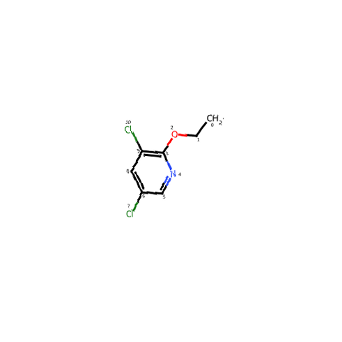 [CH2]COc1ncc(Cl)cc1Cl